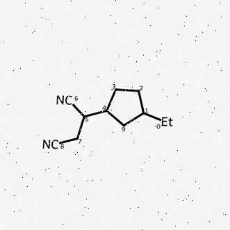 [CH2]CC1C[CH]C(C(C#N)CC#N)C1